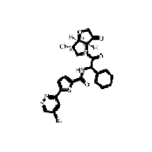 CCc1cnnc(-c2ccc(C(=O)NC(C(=O)N3C[C@H](Cl)[C@H]4OCC(=O)[C@H]43)C3CCCCC3)s2)c1